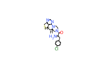 N[C@H](Cc1ccc(Cl)cc1)C(=O)N1CCN2c3ncnc4c3[C@@H](C[C@H]2C1)SC4